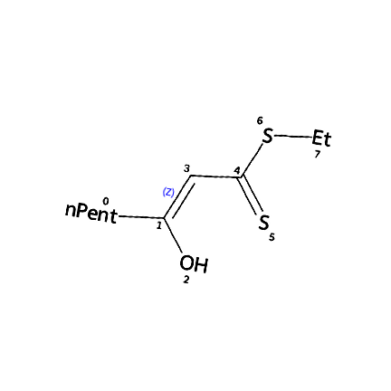 CCCCC/C(O)=C/C(=S)SCC